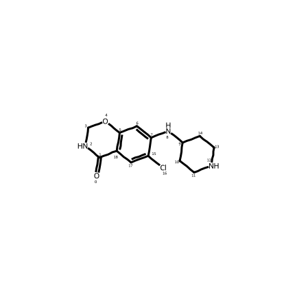 O=C1NCOc2cc(NC3CCNCC3)c(Cl)cc21